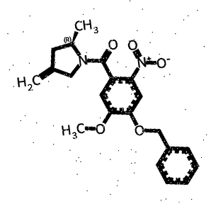 C=C1C[C@@H](C)N(C(=O)c2cc(OC)c(OCc3ccccc3)cc2[N+](=O)[O-])C1